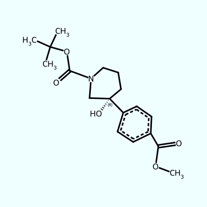 COC(=O)c1ccc([C@]2(O)CCCN(C(=O)OC(C)(C)C)C2)cc1